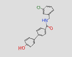 O=C(NCc1cccc(Cl)c1)c1ccc(-c2ccc(O)cc2)cc1